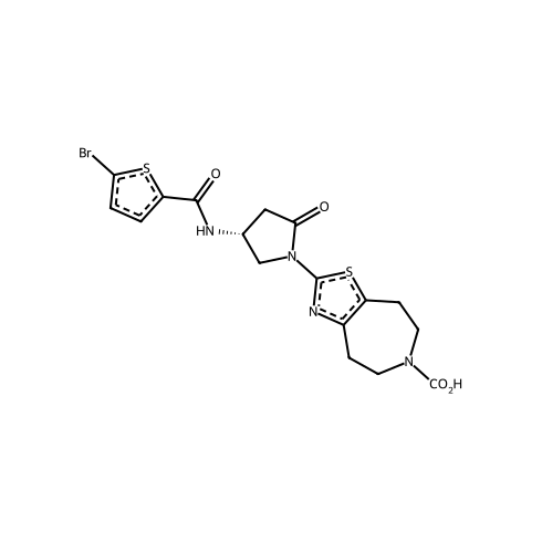 O=C(N[C@@H]1CC(=O)N(c2nc3c(s2)CCN(C(=O)O)CC3)C1)c1ccc(Br)s1